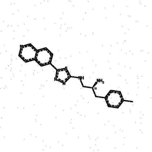 Cc1ccc(C[C@H](N)CNc2nnc(-c3ccc4cnccc4c3)s2)cc1